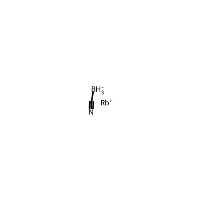 [BH3-]C#N.[Rb+]